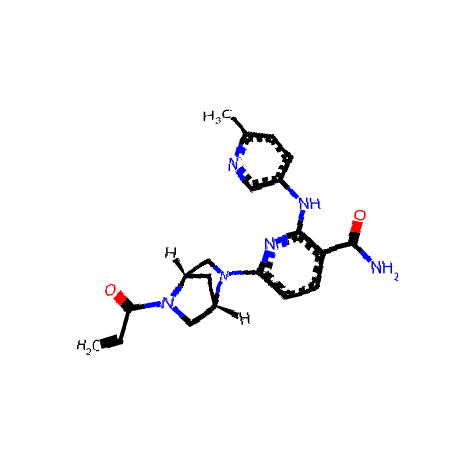 C=CC(=O)N1C[C@@H]2C[C@H]1CN2c1ccc(C(N)=O)c(Nc2ccc(C)nc2)n1